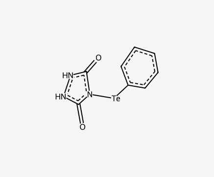 O=c1[nH][nH]c(=O)n1[Te]c1ccccc1